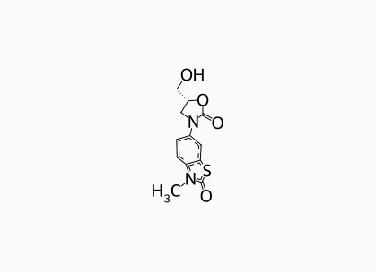 Cn1c(=O)sc2cc(N3C[C@H](CO)OC3=O)ccc21